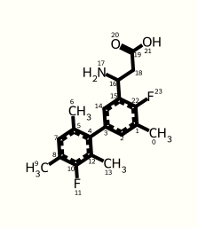 Cc1cc(-c2c(C)cc(C)c(F)c2C)cc(C(N)CC(=O)O)c1F